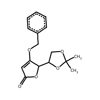 CC1(C)OCC(C2OC(=O)C=C2OCc2ccccc2)O1